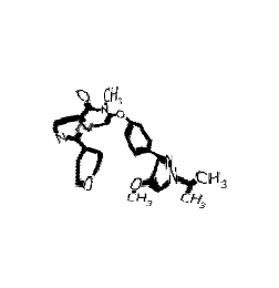 COc1cn(C(C)C)nc1-c1ccc(Oc2cn3c(C4CCOCC4)ncc3c(=O)n2C)cc1